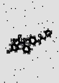 CN(C(=O)Cn1ccnc1)c1ccc(N/C(=C2\C(=O)Nc3cc(Br)ccc32)c2ccccc2)cc1